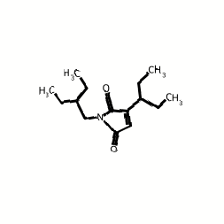 CCC(CC)CN1C(=O)C=C(C(CC)CC)C1=O